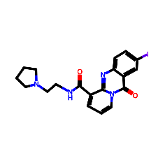 O=C(NCCN1CCCC1)c1cccn2c(=O)c3cc(I)ccc3nc12